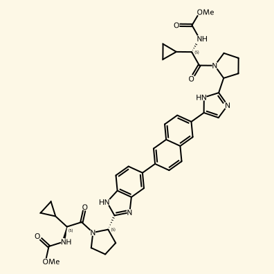 COC(=O)N[C@H](C(=O)N1CCCC1c1ncc(-c2ccc3cc(-c4ccc5[nH]c([C@@H]6CCCN6C(=O)[C@@H](NC(=O)OC)C6CC6)nc5c4)ccc3c2)[nH]1)C1CC1